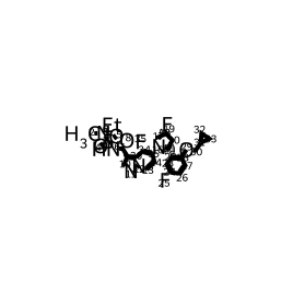 CCN(C)S(=O)(=O)NC(=O)c1cnn2ccc(N3C[C@@H](F)C[C@@H]3c3cc(F)ccc3OCC3CC3)c(F)c12